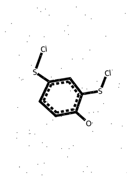 [O]c1ccc(SCl)cc1SCl